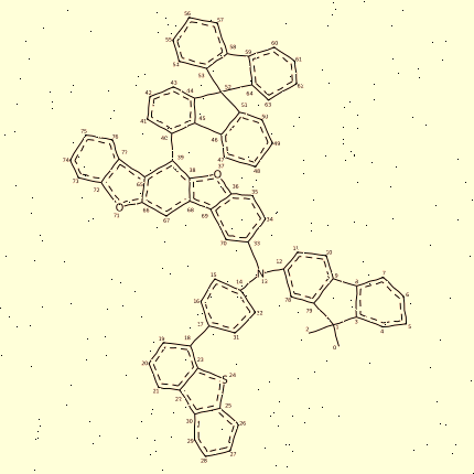 CC1(C)c2ccccc2-c2ccc(N(c3ccc(-c4cccc5c4sc4ccccc45)cc3)c3ccc4oc5c(-c6cccc7c6-c6ccccc6C76c7ccccc7-c7ccccc76)c6c(cc5c4c3)oc3ccccc36)cc21